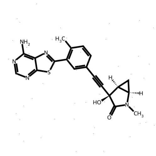 Cc1ccc(C#C[C@@]2(O)C(=O)N(C)[C@@H]3C[C@@H]32)cc1-c1nc2c(N)ncnc2s1